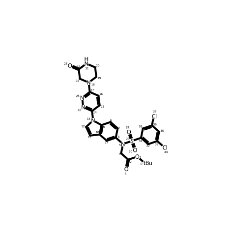 CC(C)(C)OC(=O)CN(c1ccc2c(ccn2-c2ccc(N3CCNC(=O)C3)nn2)c1)S(=O)(=O)c1cc(Cl)cc(Cl)c1